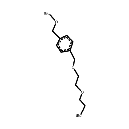 CC(C)(C)CCOCCOCc1ccc(COC(C)(C)C)cc1